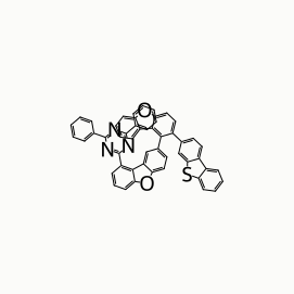 c1ccc(-c2nc(-c3ccccc3)nc(-c3cccc4oc5ccc(-c6c(-c7ccc8c(c7)sc7ccccc78)ccc7oc8ccccc8c67)cc5c34)n2)cc1